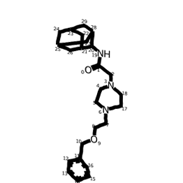 O=C(CN1CCN(CCOCc2ccccc2)CC1)NC1C2CC3CC(C2)CC1C3